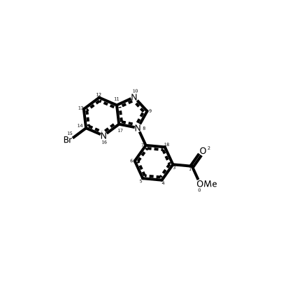 COC(=O)c1cccc(-n2cnc3ccc(Br)nc32)c1